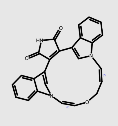 O=C1NC(=O)C2=C1c1cn(c3ccccc13)/C=C\CO/C=C\n1cc2c2ccccc21